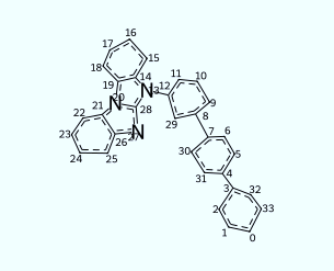 c1ccc(-c2ccc(-c3cccc(-n4c5ccccc5n5c6ccccc6nc45)c3)cc2)cc1